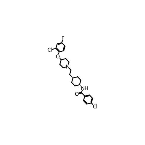 O=C(N[C@H]1CC[C@H](CCN2CCC(Oc3ccc(F)cc3Cl)CC2)CC1)c1ccc(Cl)cc1